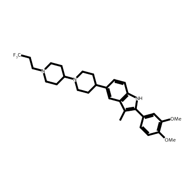 COc1ccc(-c2[nH]c3ccc(C4CCN(C5CCN(CCC(F)(F)F)CC5)CC4)cc3c2C)cc1OC